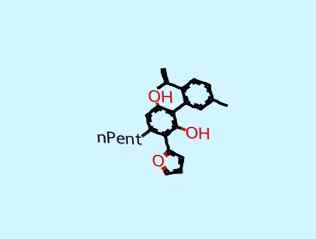 C=C(C)c1ccc(C)cc1-c1c(O)cc(CCCCC)c(-c2ccco2)c1O